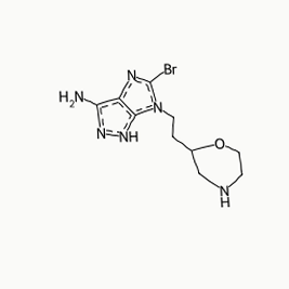 Nc1n[nH]c2c1nc(Br)n2CCC1CNCCO1